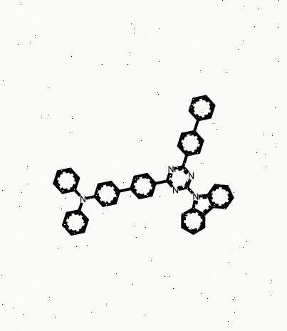 c1ccc(-c2ccc(-c3nc(-c4ccc(-c5ccc(N(c6ccccc6)c6ccccc6)cc5)cc4)nc(-n4c5ccccc5c5ccccc54)n3)cc2)cc1